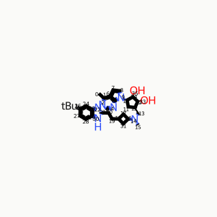 Cc1ncnc2c1ccn2[C@@H]1C[C@H](CN(C)C2CC(CCc3nc4cc(C(C)(C)C)ccc4[nH]3)C2)[C@@H](O)[C@H]1O